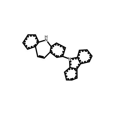 C1=Cc2cc(-n3c4ccccc4c4ccccc43)ccc2Nc2ccccc21